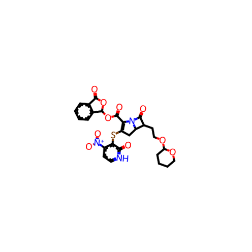 O=C(OC1OC(=O)c2ccccc21)C1=C(Sc2c([N+](=O)[O-])cc[nH]c2=O)CC2C(CCOC3CCCCO3)C(=O)N12